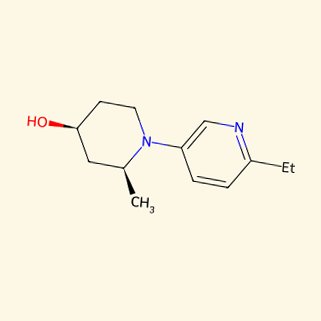 CCc1ccc(N2CC[C@H](O)C[C@@H]2C)cn1